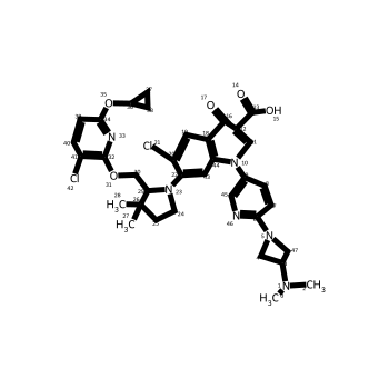 CN(C)C1CN(c2ccc(-n3cc(C(=O)O)c(=O)c4cc(Cl)c(N5CCC(C)(C)C5COc5nc(OC6CC6)ccc5Cl)cc43)cn2)C1